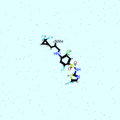 CNC(CNc1cc(F)c(S(=O)(=O)Nc2ncc(F)s2)cc1Cl)CC1CC1(F)F